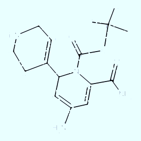 CC(C)(C)OC(=O)N1C(C(N)=O)=CC(N)=CC1C1=CCNCC1